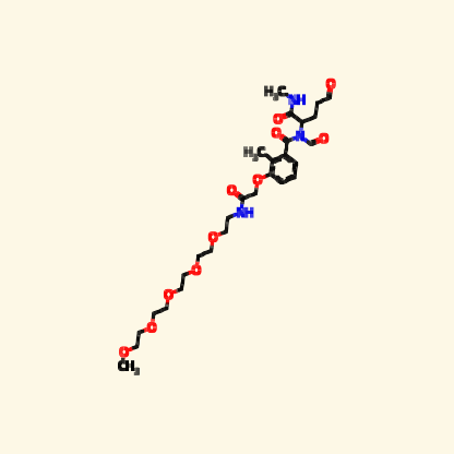 CNC(=O)C(CCC=O)N(C=O)C(=O)c1cccc(OCC(=O)NCCOCCOCCOCCOCCOC)c1C